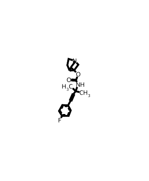 CC(C)(C#Cc1ccc(F)cc1)NC(=O)OC1CN2CCC1CC2